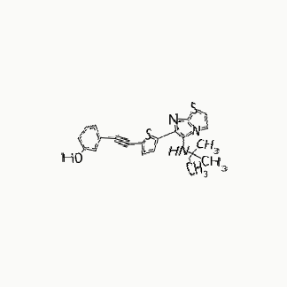 CC(C)(C)Nc1c(-c2ccc(C#Cc3cccc(O)c3)s2)nc2sccn12